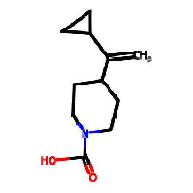 C=C(C1CC1)C1CCN(C(=O)O)CC1